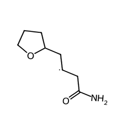 NC(=O)C[CH]CC1CCCO1